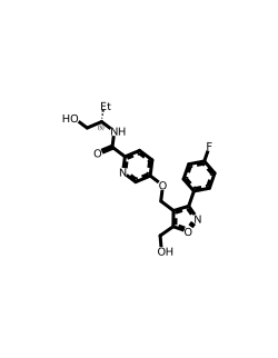 CC[C@@H](CO)NC(=O)c1ccc(OCc2c(-c3ccc(F)cc3)noc2CO)cn1